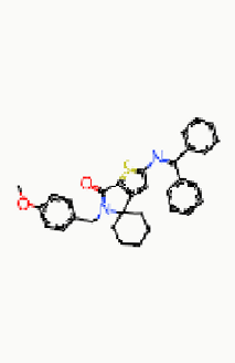 COc1ccc(CN2C(=O)c3sc(N=C(c4ccccc4)c4ccccc4)cc3C23CCCCC3)cc1